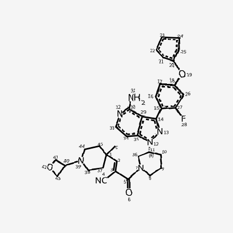 CC1(C=C(C#N)C(=O)N2CCC[C@@H](n3nc(-c4ccc(Oc5ccccc5)cc4F)c4c(N)nccc43)C2)CCN(C2COC2)CC1